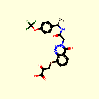 C[C@H](NC(=O)Cn1nnc2c(SCC(=O)C(=O)O)cccc2c1=O)c1ccc(OC(F)(F)F)cc1